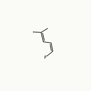 CC(C)=C/C=C\F